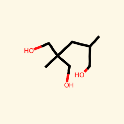 CC(CO)CC(C)(CO)CO